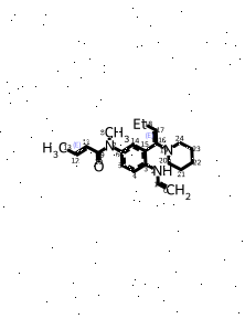 C=CNc1ccc(N(C)C(=O)/C=C/C)cc1/C(=C\CC)N1CCCCC1